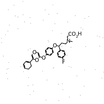 CN(CCC(Oc1ccc(OC2=COC=C(C3=CC=CCC3)O2)cc1)c1ccc(F)cc1)CC(=O)O